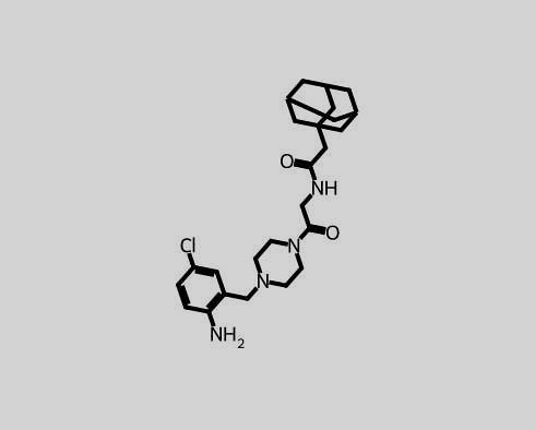 Nc1ccc(Cl)cc1CN1CCN(C(=O)CNC(=O)CC23CC4CC(CC(C4)C2)C3)CC1